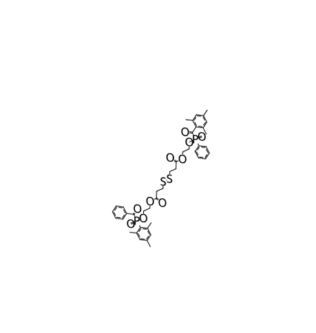 Cc1cc(C)c(C(=O)P(=O)(OCCOC(=O)CCSSCCC(=O)OCCOP(=O)(C(=O)c2ccccc2)c2c(C)cc(C)cc2C)c2ccccc2)c(C)c1